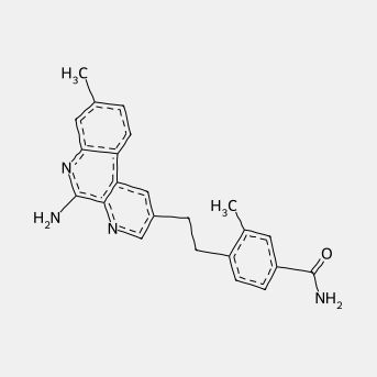 Cc1ccc2c(c1)nc(N)c1ncc(CCc3ccc(C(N)=O)cc3C)cc12